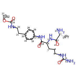 CC(C)[C@@H](N)C(=O)NC(CCCNC(N)=O)C(=O)Nc1ccc(CCNC(=O)OC(C)(C)C)cc1